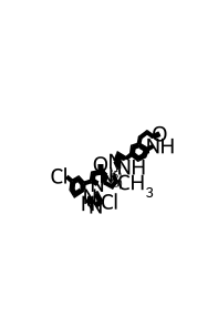 C[C@H]1Cc2nc(-c3cc(Cl)ccc3-n3cc(Cl)nn3)cc(=O)n2[C@@H]1c1ncc(-c2ccc3c(c2)CCC(=O)N3)[nH]1